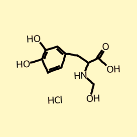 Cl.O=C(O)C(Cc1ccc(O)c(O)c1)NCO